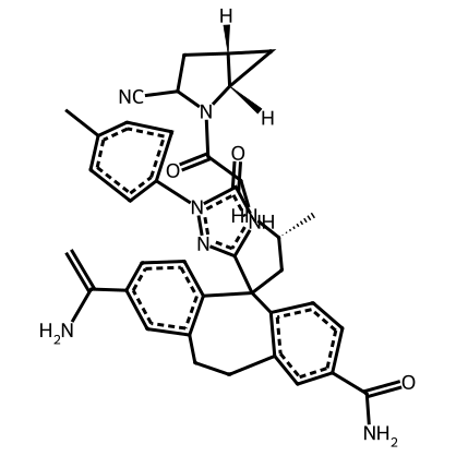 C=C(N)c1ccc2c(c1)CCc1cc(C(N)=O)ccc1C2(C[C@@H](C)NCC(=O)N1C(C#N)C[C@@H]2C[C@@H]21)c1nn(-c2ccc(C)cc2)c(=O)[nH]1